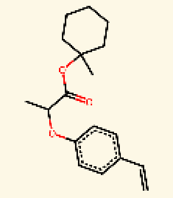 C=Cc1ccc(OC(C)C(=O)OC2(C)CCCCC2)cc1